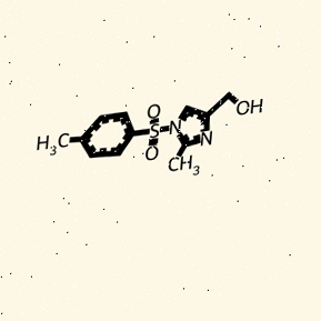 Cc1ccc(S(=O)(=O)n2cc(CO)nc2C)cc1